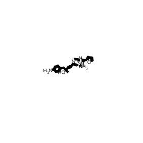 CC(O)(C#CC1=C[N+]2(N)N=C(c3ccco3)N=C2C=N1)Cc1ccc(N)cc1